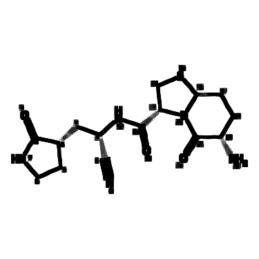 N#C[C@H](C[C@@H]1CCNC1=O)NC(=O)[C@@H]1CSC2CC[C@H](N)C(=O)N21